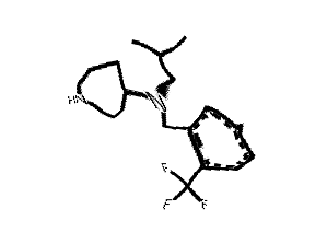 CC(C)CN(Cc1ccccc1C(F)(F)F)C1CCNC1